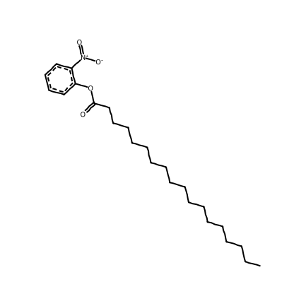 CCCCCCCCCCCCCCCCCC(=O)Oc1ccccc1[N+](=O)[O-]